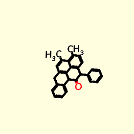 Cc1ccc2c3c4c(cc(C)c13)Cc1ccccc1C4C(=O)C2c1ccccc1